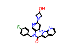 O=C(c1cc2cccnc2[nH]1)N(Cc1ccc(F)cc1)c1ccc(N2CC(O)C2)nc1